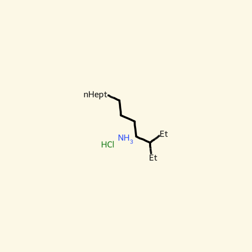 CCCCCCCCCCCC(CC)CC.Cl.N